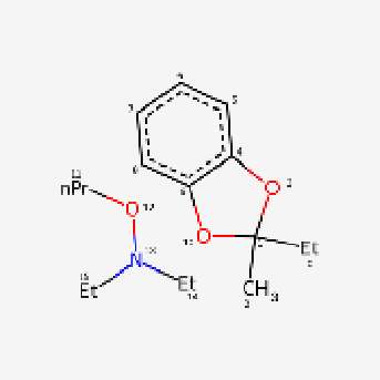 CCC1(C)Oc2ccccc2O1.CCCON(CC)CC